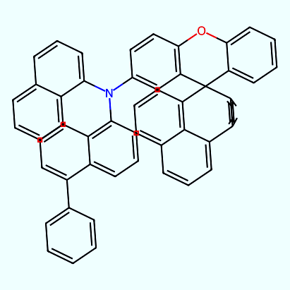 c1ccc(-c2cccc3c(N(c4ccc5c(c4)C4(c6ccccc6O5)c5ccccc5-c5cccc6cccc4c56)c4cccc5ccccc45)cccc23)cc1